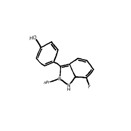 CCCN1NC2C(F)=CC=CC2=C1c1ccc(O)cc1